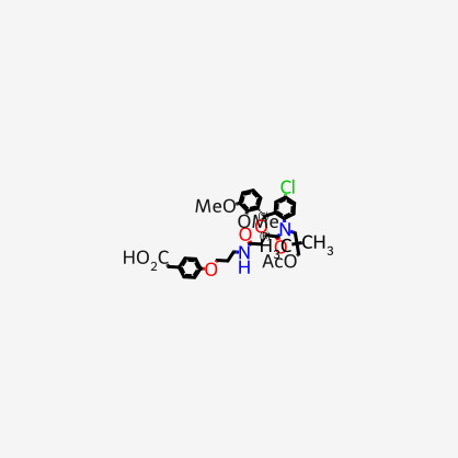 COc1cccc([C@H]2O[C@H](CC(=O)NCCCOc3ccc(CC(=O)O)cc3)C(=O)N(CC(C)(C)COC(C)=O)c3ccc(Cl)cc32)c1OC